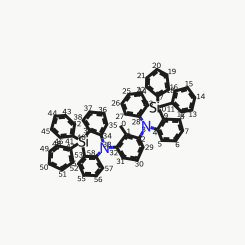 Cc1c(N2c3ccccc3[Si](c3ccccc3)(c3ccccc3)c3ccccc32)cccc1N1c2ccccc2[Si](c2ccccc2)(c2ccccc2)c2ccccc21